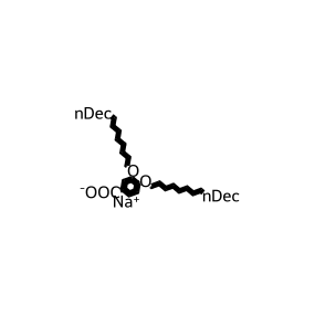 CCCCCCCCCCCCCCCCCCOc1ccc(C(=O)[O-])cc1OCCCCCCCCCCCCCCCCCC.[Na+]